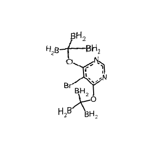 BC(B)(B)Oc1ncnc(OC(B)(B)B)c1Br